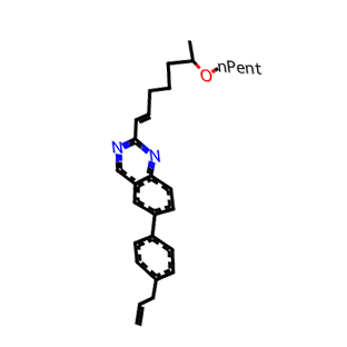 C=CCc1ccc(-c2ccc3nc(C=CCCCC(C)OCCCCC)ncc3c2)cc1